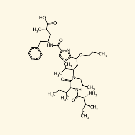 CCCO[C@H](C[C@H](C(C)C)N(CCC)C(=O)[C@@H](NC(=O)[C@H](N)[C@@H](C)CC)[C@@H](C)CC)c1nc(C(=O)N[C@@H](Cc2ccccc2)C[C@H](C)C(=O)O)cs1